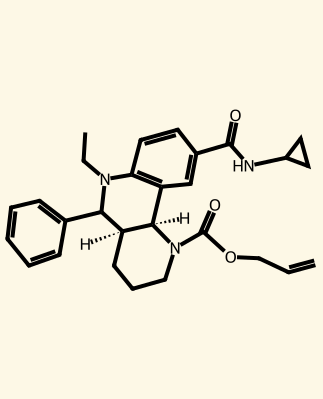 C=CCOC(=O)N1CCC[C@H]2C(c3ccccc3)N(CC)c3ccc(C(=O)NC4CC4)cc3[C@H]21